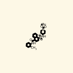 Cc1ccccc1NC(=O)c1ccc(S(=O)(=O)NC2CCN(C(=O)OC(C)(C)C)CC2)c2ccccc12